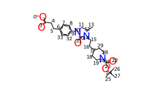 COC(=O)CCc1ccc(N2CC(C)N(CCC3CCN(C(=O)OC(C)(C)C)CC3)C2=O)cc1